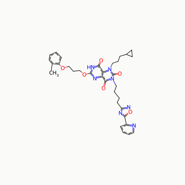 Cc1ccccc1OCCCOc1nc2c(=O)n(CCCCc3noc(-c4ccccn4)n3)c(=O)n(CCCC3CC3)c2c(=O)[nH]1